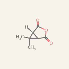 CC1(C)C2C(=O)OC(=O)[C@H]21